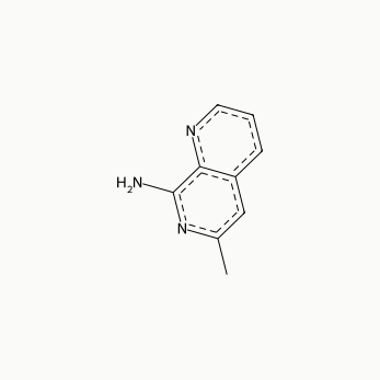 Cc1cc2cccnc2c(N)n1